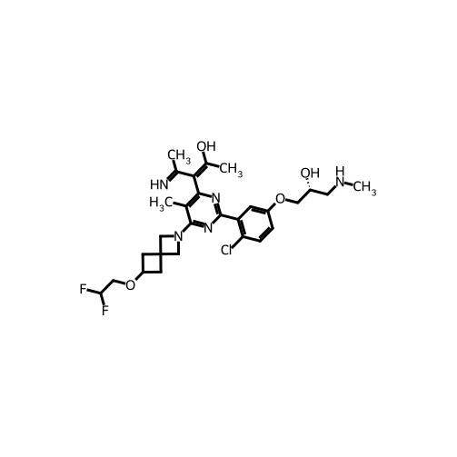 CNC[C@@H](O)COc1ccc(Cl)c(-c2nc(/C(C(C)=N)=C(\C)O)c(C)c(N3CC4(CC(OCC(F)F)C4)C3)n2)c1